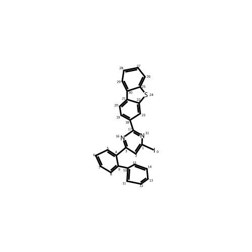 Ic1cc(-c2ccccc2-c2ccccc2)nc(-c2ccc3c(c2)sc2ccccc23)n1